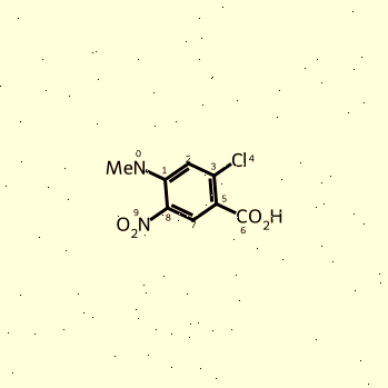 CNc1cc(Cl)c(C(=O)O)cc1[N+](=O)[O-]